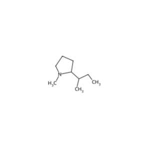 CCC(C)C1CCCN1C